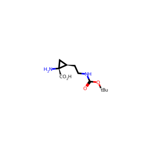 CC(C)(C)OC(=O)NCC[C@@H]1C[C@]1(N)C(=O)O